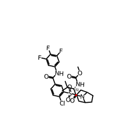 COC(=O)N[C@H](C(=O)N1C2CCC1CC(S(=O)(=O)c1cc(C(=O)Nc3cc(F)c(F)c(F)c3)ccc1Cl)C2)C(C)C